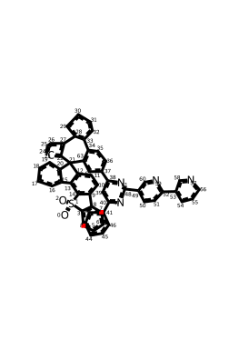 O=S1(=O)c2ccccc2-c2ccc3c(c21)-c1ccccc1C31c2ccccc2-c2ccccc2-c2ccc(-c3cc(-c4ccccc4)nc(-c4ccc(-c5cccnc5)nc4)n3)cc21